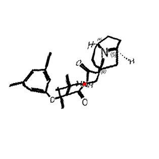 Cc1cc(C)cc(OC(C)(C)C(=O)NC[C@H]2C[C@H]3CC[C@@H](C2)N3CC(=O)NC(C)(C)C)c1